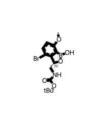 CC(C)(C)OC(=O)NC[C@H]1OB(O)c2c(OI)ccc(Br)c21